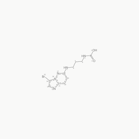 O=C(O)NCCCNc1ccc2ncc(Br)n2n1